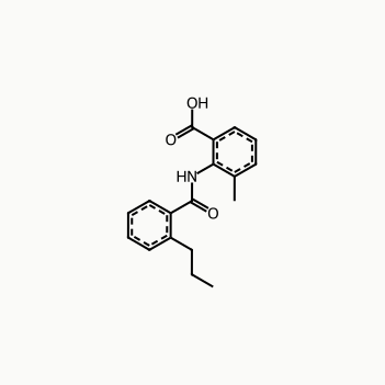 CCCc1ccccc1C(=O)Nc1c(C)cccc1C(=O)O